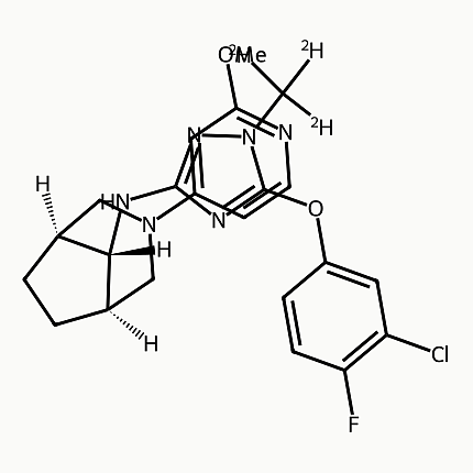 [2H]C([2H])([2H])n1nc(N[C@@H]2[C@@H]3CC[C@H]2CN(c2ccnc(OC)c2)C3)nc1Oc1ccc(F)c(Cl)c1